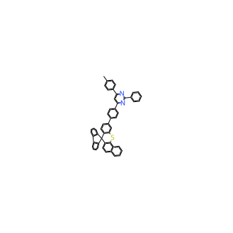 Cc1ccc(-c2cc(-c3ccc(-c4ccc5c(c4)Sc4c(ccc6ccccc46)C54c5ccccc5-c5ccccc54)cc3)nc(-c3ccccc3)n2)cc1